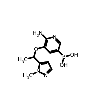 CC(Oc1cc(B(O)O)cnc1N)c1ccnn1C